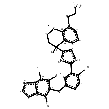 CC1(c2c[nH]c(-c3cc(Cc4c(F)c(F)c5[nH]ccc5c4F)ccc3F)n2)CCOc2c(CCC(=O)O)cccc21